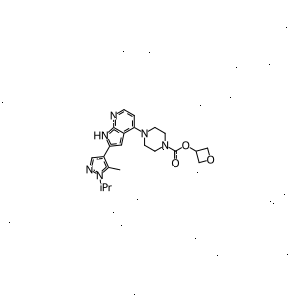 Cc1c(-c2cc3c(N4CCN(C(=O)OC5COC5)CC4)ccnc3[nH]2)cnn1C(C)C